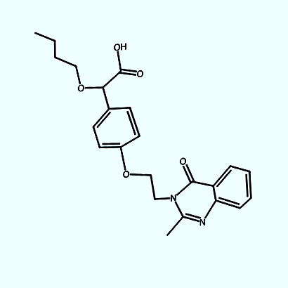 CCCCOC(C(=O)O)c1ccc(OCCn2c(C)nc3ccccc3c2=O)cc1